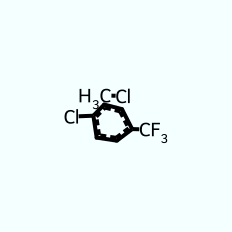 CCl.FC(F)(F)c1ccc(Cl)cc1